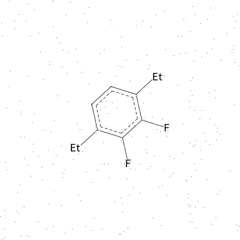 CCc1ccc(CC)c(F)c1F